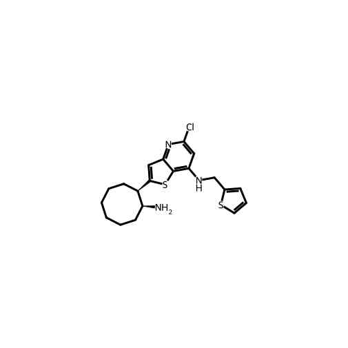 N[C@H]1CCCCCC[C@H]1c1cc2nc(Cl)cc(NCc3cccs3)c2s1